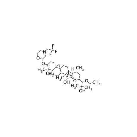 CCO[C@@H](C1C[C@@H](C)[C@H]2C(O1)[C@H](O)[C@@]1(C)C3CC[C@H]4C(C)(C)[C@@H](O[C@H]5CN(CC(F)(F)F)CCO5)CC[C@@]45CC35CC[C@]21C)C(C)(C)O